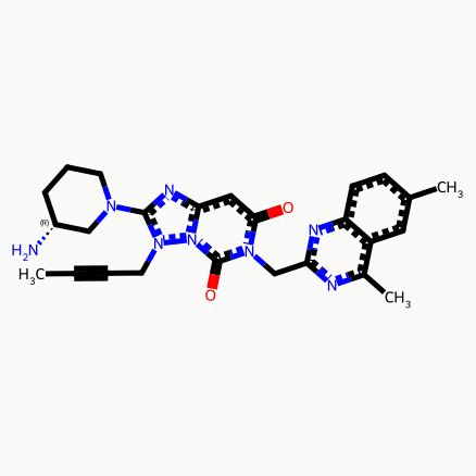 CC#CCn1c(N2CCC[C@@H](N)C2)nc2cc(=O)n(Cc3nc(C)c4cc(C)ccc4n3)c(=O)n21